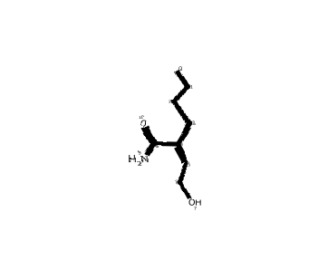 CCCCC(=CCO)C(N)=O